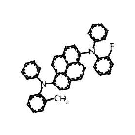 Cc1ccccc1N(c1ccccc1)c1ccc2ccc3c(N(c4ccccc4)c4ccccc4F)ccc4ccc1c2c43